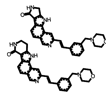 O=C1NCCc2[nH]c3c(ccc4cnc(C=Cc5cccc(CN6CCOCC6)c5)cc43)c21.O=C1NCc2[nH]c3c(ccc4cnc(C=Cc5cccc(CN6CCOCC6)c5)cc43)c21